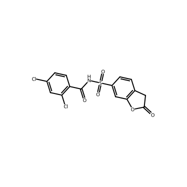 O=C1Cc2ccc(S(=O)(=O)NC(=O)c3ccc(Cl)cc3Cl)cc2O1